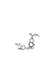 CC(=O)N1Cc2cc(O[C@H]3CN[C@@H](C)C3)cnc2C1.Cl